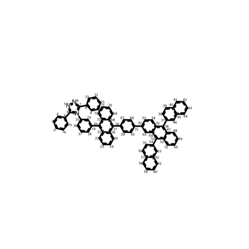 c1ccc(-c2nnc(-c3ccccc3)n2-c2cccc(-c3c4ccccc4c(-c4ccc(-c5ccc6c(-c7ccc8ccccc8c7)c7ccccc7c(-c7ccc8ccccc8c7)c6c5)cc4)c4ccccc34)c2)cc1